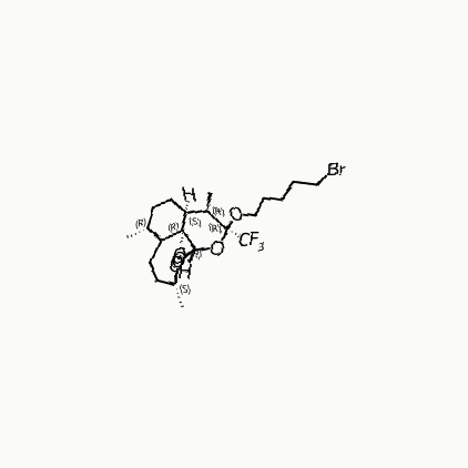 C[C@@H]1CC[C@H]2[C@@H](C)[C@](OCCCCCBr)(C(F)(F)F)O[C@@H]3O[C@]4(C)CCC1[C@]32OO4